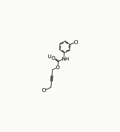 O=C(Nc1cccc(Cl)c1)OCC#CCCl.[U]